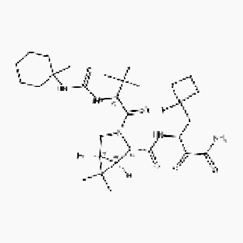 CC1(NC(=O)N[C@H](C(=O)N2C[C@H]3[C@@H]([C@H]2C(=O)NC(CC2(F)CCC2)C(=O)C(N)=O)C3(C)C)C(C)(C)C)CCCCC1